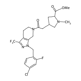 COC(=O)C1CC(CC(=O)N2CCc3c(C(F)(F)F)nn(Cc4ccc(Cl)cc4F)c3C2)CN1C